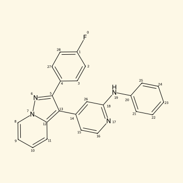 Fc1ccc(-c2nn3ccccc3c2-c2ccnc(Nc3ccccc3)c2)cc1